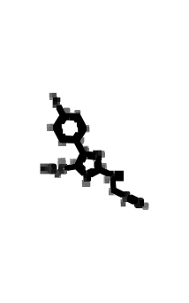 O=BCNc1nc(-c2ccc(F)cc2)c(C(=O)O)s1